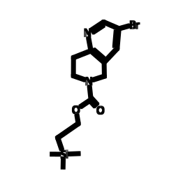 C[Si](C)(C)CCOC(=O)N1CCc2ncc(Br)cc2C1